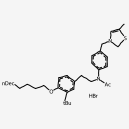 Br.CCCCCCCCCCCCCCOc1ccc(CCN(C(C)=O)c2ccc(CN3C=C(C)SC3)cc2)cc1C(C)(C)C